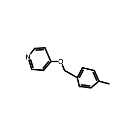 Cc1ccc(COc2ccncc2)cc1